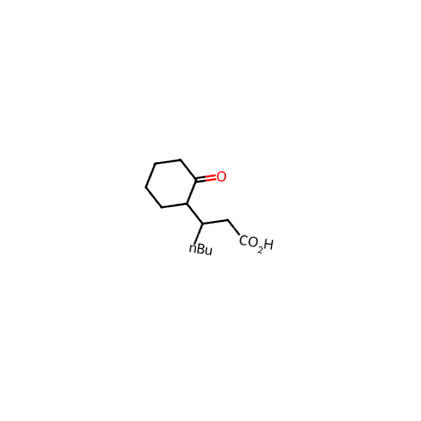 CCCCC(CC(=O)O)C1CCCCC1=O